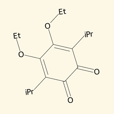 CCOC1=C(C(C)C)C(=O)C(=O)C(C(C)C)=C1OCC